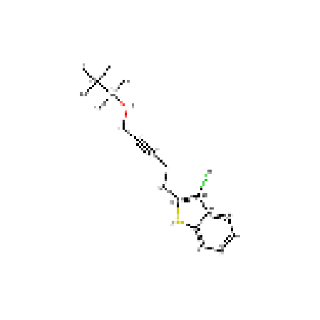 CC(C)(C)[Si](C)(C)OCC#CCCc1sc2ccccc2c1Cl